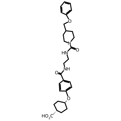 O=C(NCCNC(=O)N1CCC(COc2ccccc2)CC1)c1ccc(O[C@H]2CC[C@@H](C(=O)O)CC2)cc1